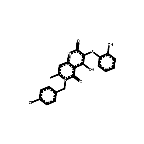 Cc1cc2oc(=O)c(Sc3ccccc3O)c(O)c2c(=O)n1Cc1ccc(Cl)cc1